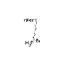 CCCCCCCCCCCC(P)Br